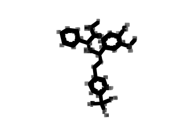 CNC(=O)[C@H](N[C@H](CCc1ccc(C(F)(F)F)nc1)c1ccc(Cl)c(OC)c1)c1ccccc1